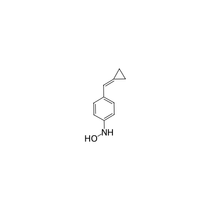 ONc1ccc(C=C2CC2)cc1